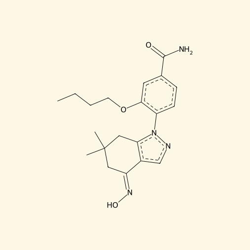 CCCCOc1cc(C(N)=O)ccc1-n1ncc2c1CC(C)(C)CC2=NO